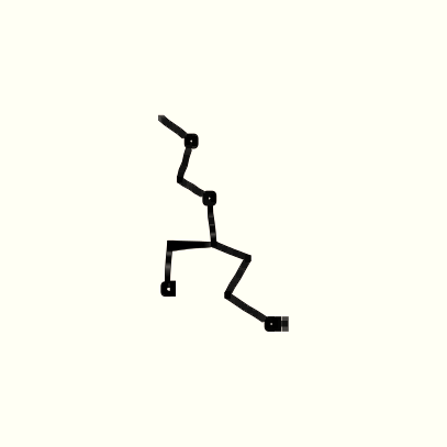 COCO[C@H](CCl)CCO